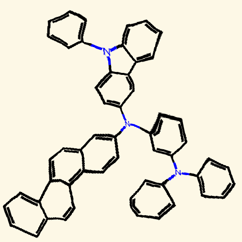 c1ccc(N(c2ccccc2)c2cccc(N(c3ccc4c(ccc5c6ccccc6ccc45)c3)c3ccc4c(c3)c3ccccc3n4-c3ccccc3)c2)cc1